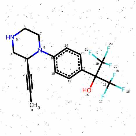 CC#C[C@H]1CNCCN1c1ccc(C(O)(C(F)(F)F)C(F)(F)F)cc1